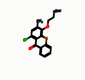 CCCCCCCCCCCCOc1c(C)cc(Cl)c2c(=O)c3ccccc3sc12